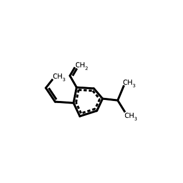 C=Cc1cc(C(C)C)ccc1/C=C\C